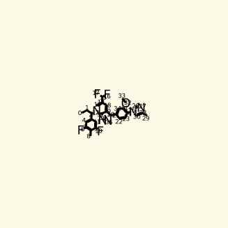 CCC(c1cc(F)c(C)c(F)c1)n1cc(C(F)F)cc2c(-c3ccc(-n4cnc(C)c4)c(OC)c3)nnc1-2